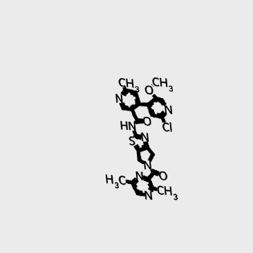 COc1cnc(Cl)cc1-c1cc(C)ncc1C(=O)Nc1nc2c(s1)CN(C(=O)c1nc(C)cnc1C)C2